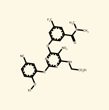 CCOC(=O)CNc1nc(Oc2cc(C#N)ccc2OCC)nc(Oc2cc(C(=O)N(C)C)cc(C(F)(F)F)c2)c1[N+](=O)[O-]